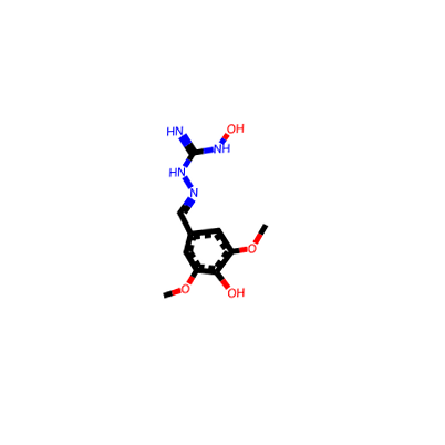 COc1cc(C=NNC(=N)NO)cc(OC)c1O